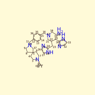 CC(C)CN1CCC2(CC1)CCN(Cc1ccc(CN(CCN)CC(Cc3ncc[nH]3)Cc3ncc[nH]3)cc1)C2